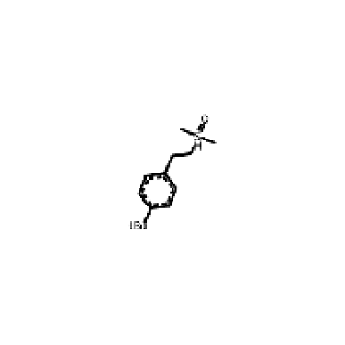 CC(C)(C)c1ccc(CC[SH](C)(C)=O)cc1